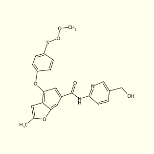 COOSc1ccc(Oc2cc(C(=O)Nc3ccc(CO)cn3)cc3oc(C)cc23)cc1